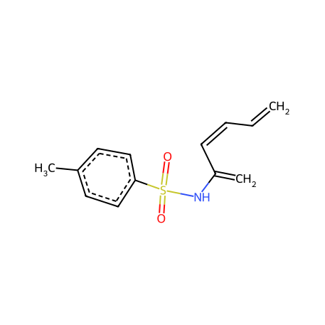 C=C/C=C\C(=C)NS(=O)(=O)c1ccc(C)cc1